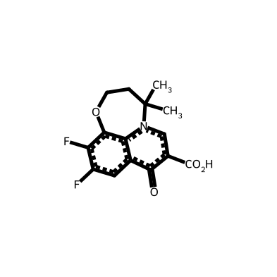 CC1(C)CCOc2c(F)c(F)cc3c(=O)c(C(=O)O)cn1c23